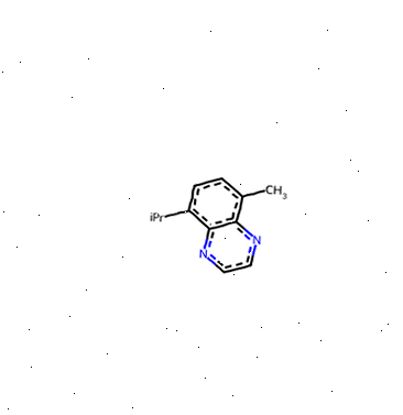 Cc1ccc(C(C)C)c2nccnc12